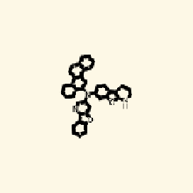 C1=Cc2c(oc3cc(N(c4cnc5c(c4)oc4ccccc45)c4cc5c6ccccc6ccc5c5ccccc45)ccc23)NC1